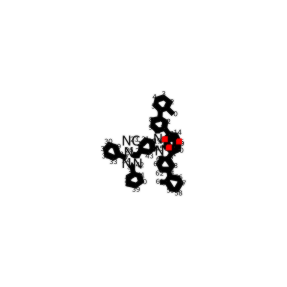 Cc1ccccc1-c1ccc2c(c1)c1ccccc1n2-c1cc(C#N)c(-c2nc(-c3ccccc3)nc(-c3ccccc3)n2)cc1-n1c2ccccc2c2cc(-c3ccccc3C)ccc21